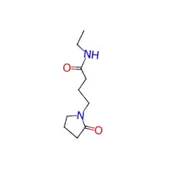 CCNC(=O)CCCN1CCCC1=O